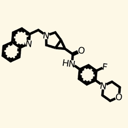 O=C(Nc1ccc(N2CCOCC2)c(F)c1)C1C2CN(Cc3ccc4ccccc4n3)CC21